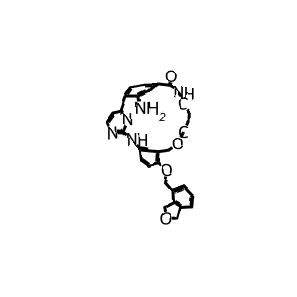 Nc1cc2ccc1-c1ccnc(n1)Nc1ccc(OCc3cccc4c3COC4)c(c1)COCCCCNC2=O